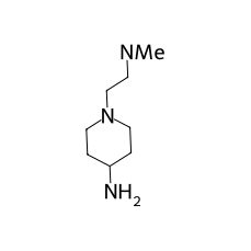 [CH2-][NH2+]CCN1CCC(N)CC1